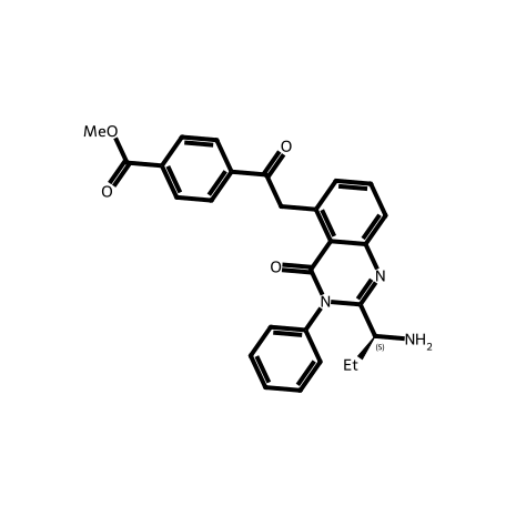 CC[C@H](N)c1nc2cccc(CC(=O)c3ccc(C(=O)OC)cc3)c2c(=O)n1-c1ccccc1